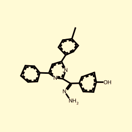 Cc1ccc(-c2cc(-c3ccccc3)nc(/C(=N/N)c3ccc(O)cc3)n2)cc1